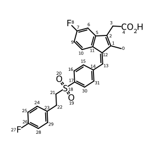 CC1=C(CC(=O)O)c2cc(F)ccc2/C1=C\c1ccc(S(=O)(=O)CCc2ccc(F)cc2)cc1